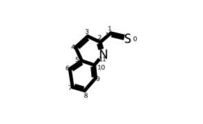 S=[C]c1ccc2ccccc2n1